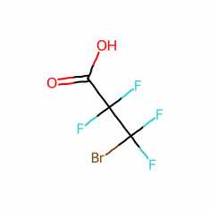 O=C(O)C(F)(F)C(F)(F)Br